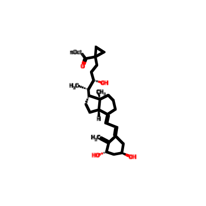 C=C1/C(=C\C=C2/CCC[C@]3(C)[C@@H]([C@H](C)[C@@H](O)CCC4(C(=O)CCCCCCCC)CC4)CC[C@@H]23)C[C@@H](O)C[C@@H]1O